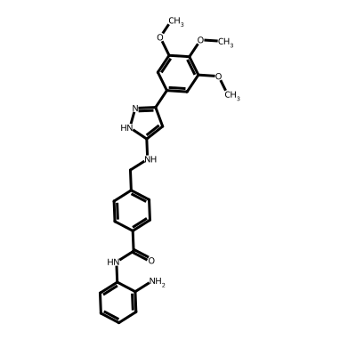 COc1cc(-c2cc(NCc3ccc(C(=O)Nc4ccccc4N)cc3)[nH]n2)cc(OC)c1OC